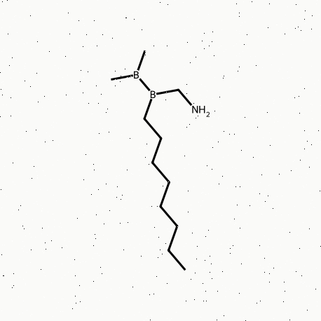 CCCCCCCCB(CN)B(C)C